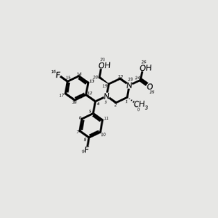 C[C@@H]1CN(C(c2ccc(F)cc2)c2ccc(F)cc2)[C@@H](CO)CN1C(=O)O